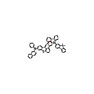 CC1(C)c2ccccc2-c2ccc(N(c3ccc4cc5c6c(cccc6c4c3)Sc3cc(N(c4ccccc4)c4ccc6ccccc6c4)ccc3-5)c3ccccc3-c3ccccc3)cc21